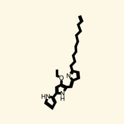 C=CCCCCCCCCCC1=NC(=Cc2[nH]c(-c3ccc[nH]3)cc2OCC)C=C1